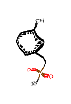 CC(C)(C)S(=O)(=O)Cc1cccc(C#N)c1